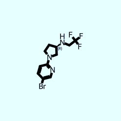 FC(F)(F)CN[C@@H]1CCN(c2ccc(Br)cn2)C1